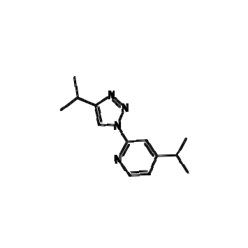 CC(C)c1ccnc(-n2cc(C(C)C)nn2)c1